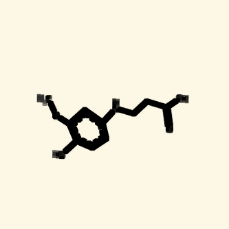 COc1cc(NCCC(=O)O)ccc1O